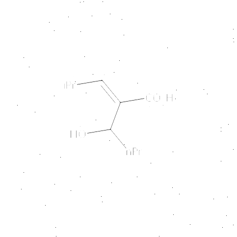 CCCC(O)/C(=C\C(C)C)C(=O)O